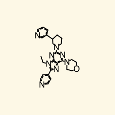 CCn1c(-c2ccncc2)nc2c(N3CCOCC3)nc(N3CCCC(c4cccnc4)C3)nc21